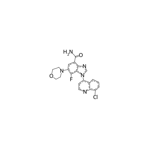 NC(=O)c1cc(N2CCOCC2)c(F)c2c1ncn2-c1ccnc2c(Cl)cccc12